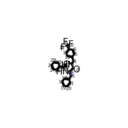 O=C(NCc1ccc(C(F)(F)F)cc1)/C(=C/c1ccccc1)NC(=O)c1ccccc1